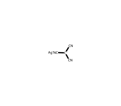 N#C[C-](C#N)C#N.[Ag+]